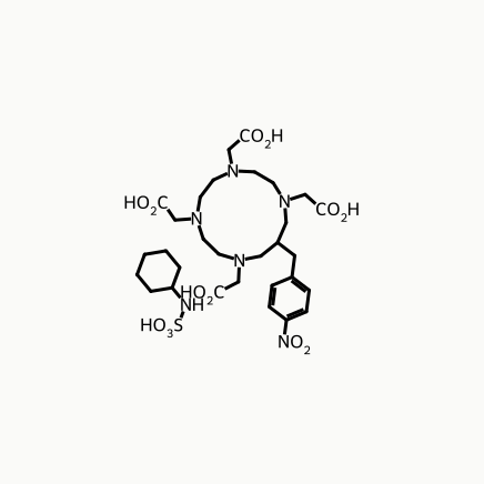 O=C(O)CN1CCN(CC(=O)O)CCN(CC(=O)O)CC(Cc2ccc([N+](=O)[O-])cc2)CN(CC(=O)O)CC1.O=S(=O)(O)NC1CCCCC1